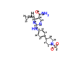 CS(=O)(=O)N1CCC(c2ccc(Nc3ncc(C(N)=O)c([AsH]C4CC4)n3)cc2)CC1